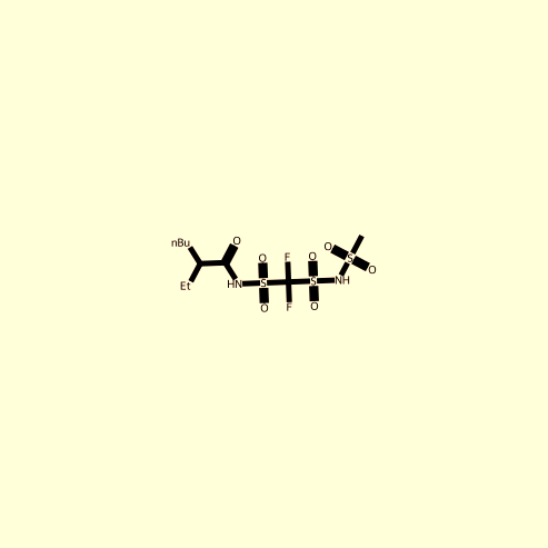 CCCCC(CC)C(=O)NS(=O)(=O)C(F)(F)S(=O)(=O)NS(C)(=O)=O